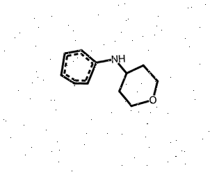 [c]1cccc(NC2CCOCC2)c1